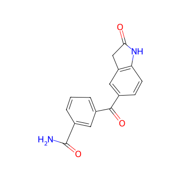 NC(=O)c1cccc(C(=O)c2ccc3c(c2)CC(=O)N3)c1